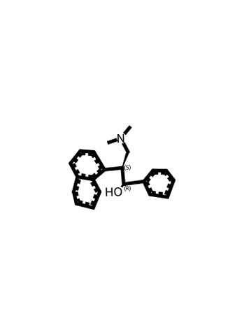 CN(C)C[C@H](c1cccc2ccccc12)[C@@H](O)c1ccccc1